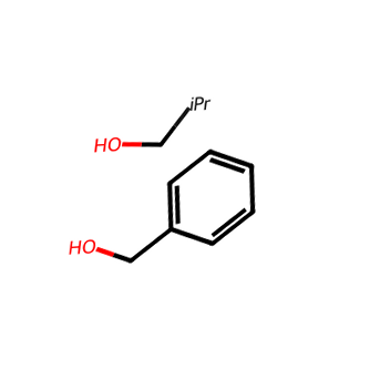 CC(C)CO.OCc1ccccc1